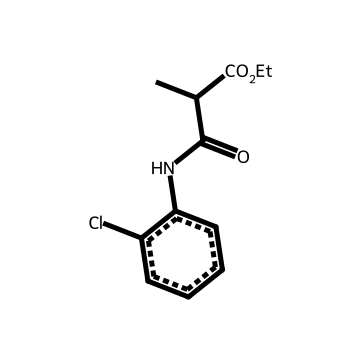 CCOC(=O)C(C)C(=O)Nc1ccccc1Cl